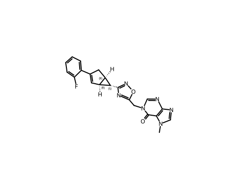 Cn1cnc2ncn(Cc3nc([C@@H]4[C@H]5C=C(c6ccccc6F)C[C@H]54)no3)c(=O)c21